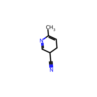 CC1=CCC(C#N)C=N1